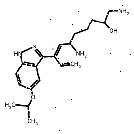 C=C/C(=C\C(N)CCCC(O)CN)c1n[nH]c2ccc(OC(C)C)cc12